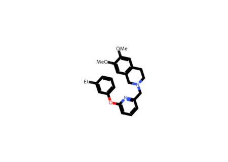 CCc1cccc(Oc2cccc(CN3CCc4cc(OC)c(OC)cc4C3)n2)c1